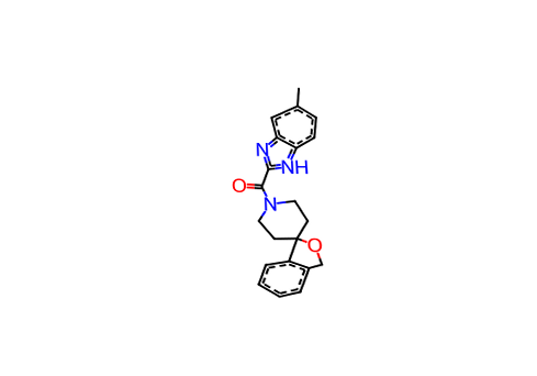 Cc1ccc2[nH]c(C(=O)N3CCC4(CC3)OCc3ccccc34)nc2c1